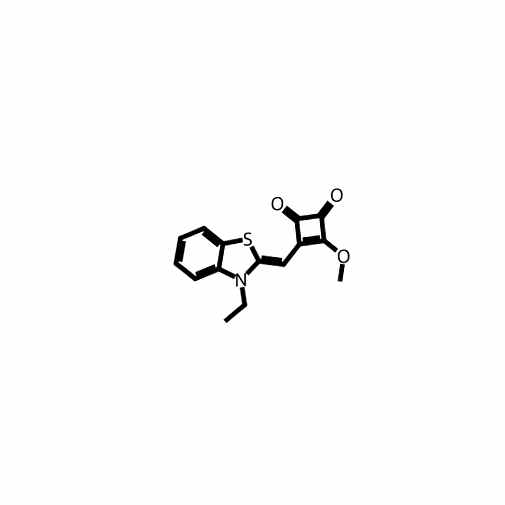 CCN1/C(=C/c2c(OC)c(=O)c2=O)Sc2ccccc21